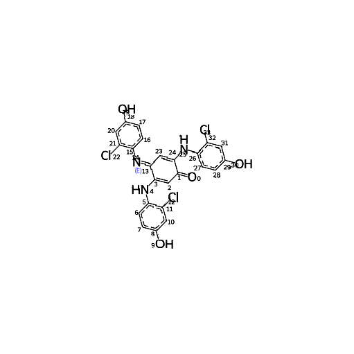 O=C1C=C(Nc2ccc(O)cc2Cl)/C(=N/c2ccc(O)cc2Cl)C=C1Nc1ccc(O)cc1Cl